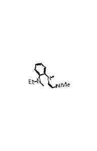 CCN(C)c1ccccc1N(C)/C=C\NC